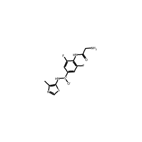 Cc1ncsc1N[S+]([O-])c1cc(F)c(NC(=O)CN)c(F)c1